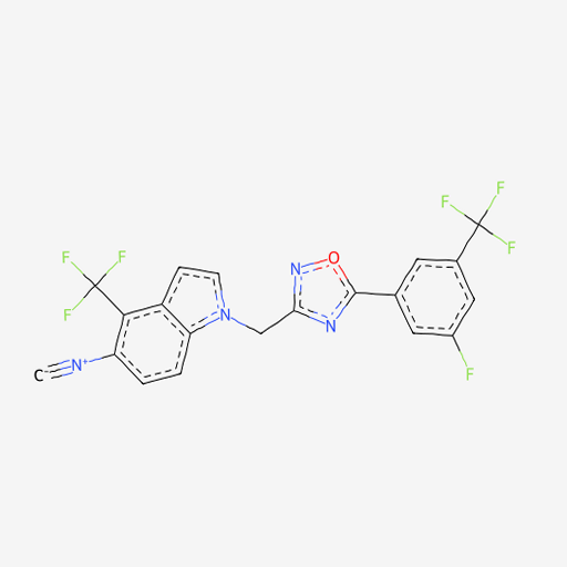 [C-]#[N+]c1ccc2c(ccn2Cc2noc(-c3cc(F)cc(C(F)(F)F)c3)n2)c1C(F)(F)F